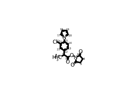 CC(C(=O)ON1C(=O)CCC1=O)c1ccc(-n2cccc2)c(Cl)c1.[Ar]